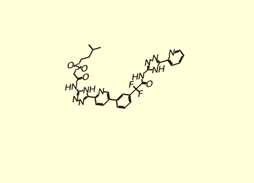 CC(C)CCS(=O)(=O)CC(=O)Nc1nnc(-c2ccc(-c3cccc(C(F)(F)C(=O)Nc4nnc(-c5ccccn5)[nH]4)c3)cn2)[nH]1